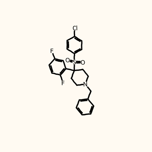 O=S(=O)(c1ccc(Cl)cc1)C1(c2cc(F)ccc2F)CCN(Cc2ccccc2)CC1